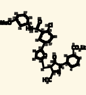 CCOC(=O)c1cccc(N2N=C(C)C(Cc3ccc(-c4ccc(Cl)c(C(=O)Nc5cccc(OC)c5)c4)o3)C2=O)c1